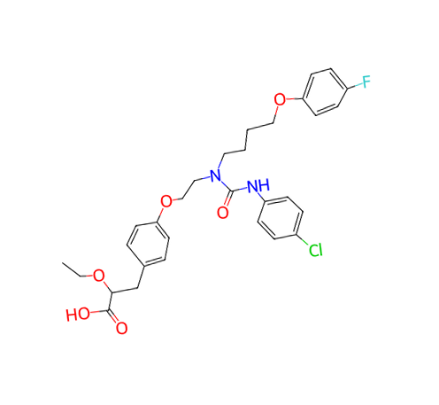 CCOC(Cc1ccc(OCCN(CCCCOc2ccc(F)cc2)C(=O)Nc2ccc(Cl)cc2)cc1)C(=O)O